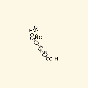 O=C1CCC(N2C(=O)c3ccc(N4CCN(c5ccc(C(=O)O)cn5)CC4)cc3C2=O)C(=O)N1